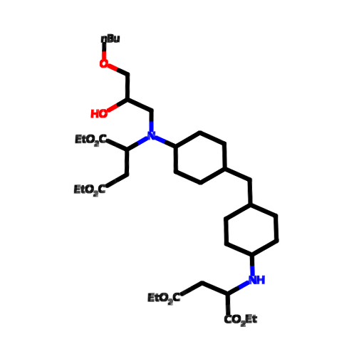 CCCCOCC(O)CN(C1CCC(CC2CCC(NC(CC(=O)OCC)C(=O)OCC)CC2)CC1)C(CC(=O)OCC)C(=O)OCC